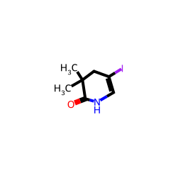 CC1(C)CC(I)=CNC1=O